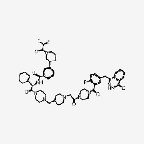 O=C(N[C@@H](C(=O)N1CCN(CC2CCN(CC(=O)N3CCN(C(=O)c4cc(Cc5n[nH]c(=O)c6ccccc56)ccc4F)CC3)CC2)CC1)C1CCCCC1)c1cccc(C2CCCN(C(=O)C(F)F)C2)c1